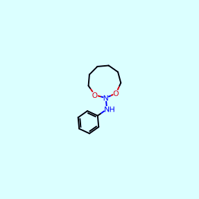 c1ccc(NN2OCCCCCCO2)cc1